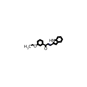 CCOc1cccc(C(=O)/C=C/c2cc3ccccc3[nH]2)c1